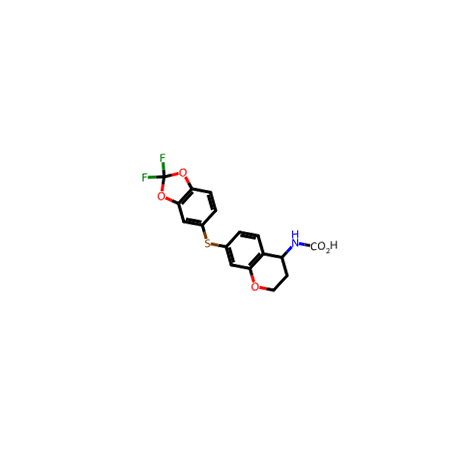 O=C(O)NC1CCOc2cc(Sc3ccc4c(c3)OC(F)(F)O4)ccc21